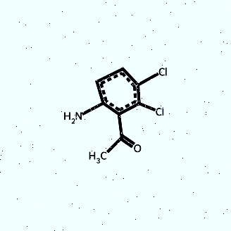 CC(=O)c1c(N)ccc(Cl)c1Cl